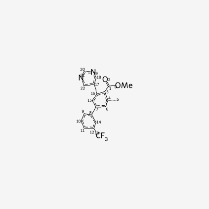 COC(=O)c1c(C)cc(-c2cccc(C(F)(F)F)c2)cc1-c1cncnc1